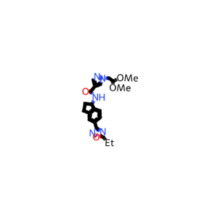 CCc1nc(-c2ccc3c(c2)CCC3NC(=O)c2cnn(CC(OC)OC)c2)no1